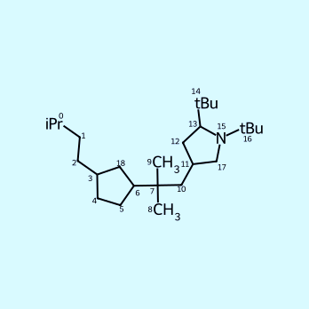 CC(C)CCC1CCC(C(C)(C)CC2CC(C(C)(C)C)N(C(C)(C)C)C2)C1